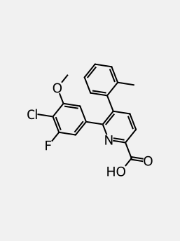 COc1cc(-c2nc(C(=O)O)ccc2-c2ccccc2C)cc(F)c1Cl